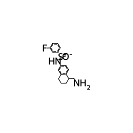 NCC1CCCc2cc(N[S+]([O-])c3cccc(F)c3)ccc21